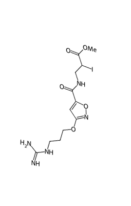 COC(=O)C(I)CNC(=O)c1cc(OCCCNC(=N)N)no1